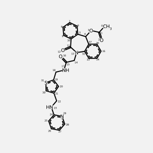 CC(=O)OC1c2ccccc2C(=O)N(CC(=O)NCc2cc(CNc3ccccn3)cs2)c2ccccc21